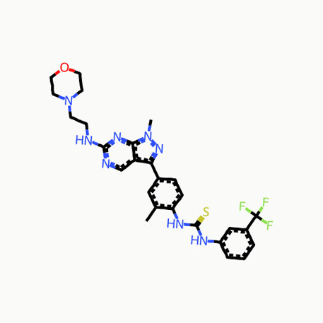 Cc1cc(-c2nn(C)c3nc(NCCN4CCOCC4)ncc23)ccc1NC(=S)Nc1cccc(C(F)(F)F)c1